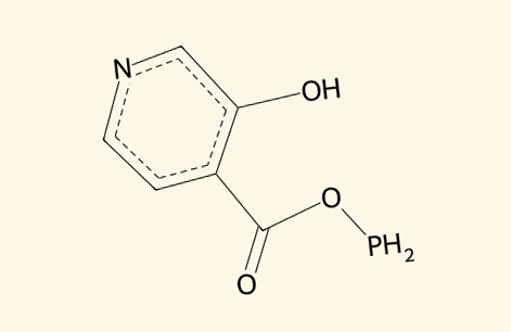 O=C(OP)c1ccncc1O